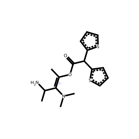 C/C(OC(=O)C(c1cccs1)c1cccs1)=C(\C(C)N)N(C)C